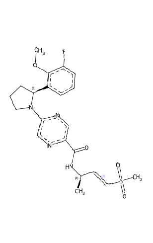 COc1c(F)cccc1[C@@H]1CCCN1c1cnc(C(=O)N[C@H](C)/C=C/S(C)(=O)=O)cn1